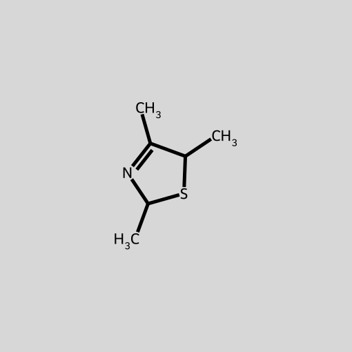 CC1=NC(C)SC1C